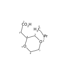 CC(C)C.O=C(O)CC1COCCO1